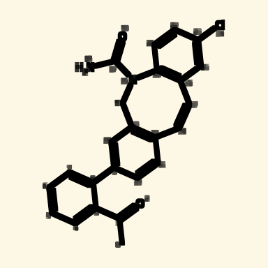 CC(=O)c1ccccc1-c1ccc2c(c1)CN(C(N)=O)c1ccc(Cl)cc1C=C2